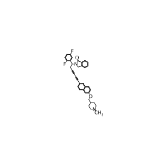 CN1CCC(COc2ccc3cc(C#CC#CCC(c4cc(F)ccc4F)N4Cc5ccccc5C4=O)ccc3c2)CC1